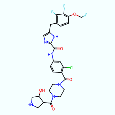 O=C(Nc1ccc(C(=O)N2CCN(C(=O)C3CNCC3O)CC2)c(Cl)c1)c1ncc(Cc2ccc(OCF)c(F)c2F)[nH]1